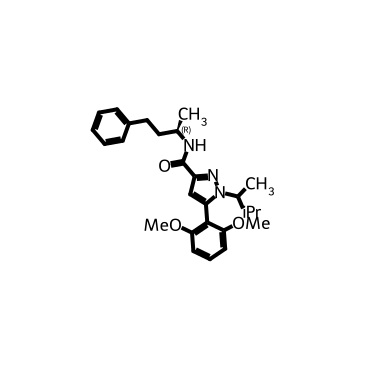 COc1cccc(OC)c1-c1cc(C(=O)N[C@H](C)CCc2ccccc2)nn1C(C)C(C)C